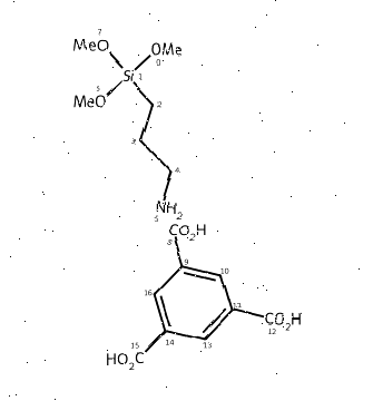 CO[Si](CCCN)(OC)OC.O=C(O)c1cc(C(=O)O)cc(C(=O)O)c1